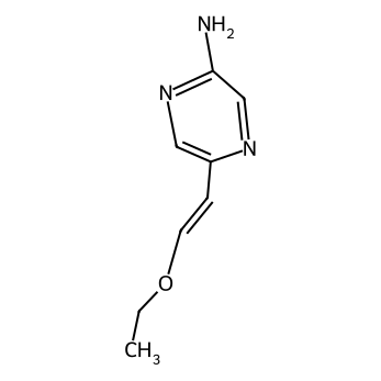 CCO/C=C/c1cnc(N)cn1